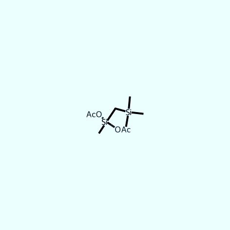 CC(=O)O[Si](C)(C[Si](C)(C)C)OC(C)=O